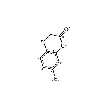 CCc1ccc2c(c1)OC(=O)CC2